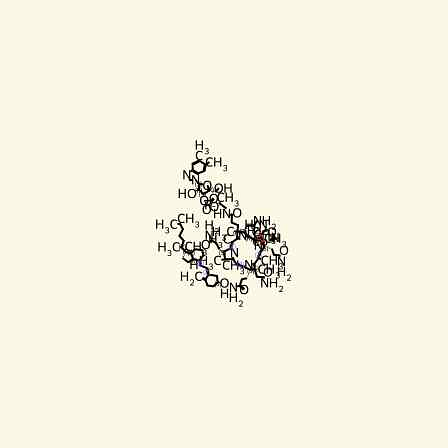 C/C1=C2N=C(/C=C3N=C(/C(C)=C4/[C@@H](CCC(N)=O)[C@](C)(CC(N)=O)[C@](C)([C@@H]5N=C1[C@](C)(CCC(=O)NCC(C)OP(=O)([O-])O[C@H]1[C@@H](O)[C@@H](n6cnc7cc(C)c(C)cc76)O[C@@H]1CO)[C@H]5CC(N)=O)[N]4[Co+][C]#N)[C@@](C)(CC(N)=O)[C@@H]\3CCC(N)=O)C(C)(C)[C@@H]/2CCC(N)=O.C=C1CC[C@H](O)C/C1=C/C=C1\CCC[C@]2(C)[C@@H]([C@H](C)CCCC(C)C)CC[C@@H]12